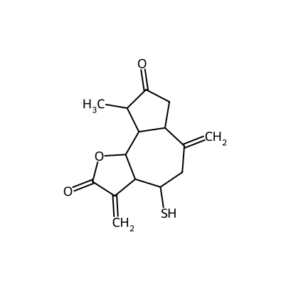 C=C1CC(S)C2C(=C)C(=O)OC2C2C(C)C(=O)CC12